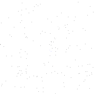 CC(=O)NC(=O)c1ccc(CC(C)[C@@H](N)[C@H](O)c2cccc(Cl)c2)cc1